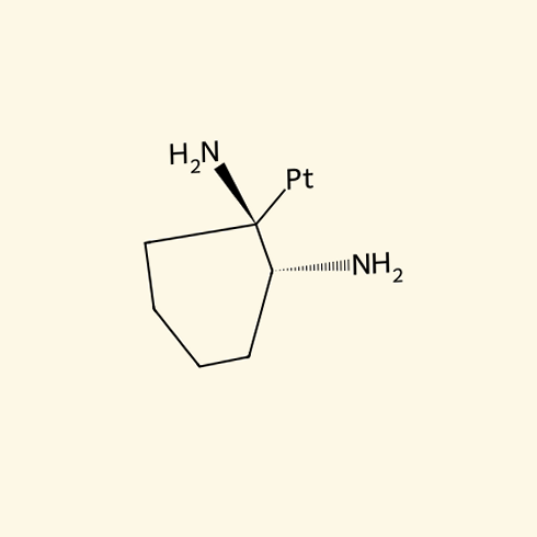 N[C@@H]1CCCC[C@]1(N)[Pt]